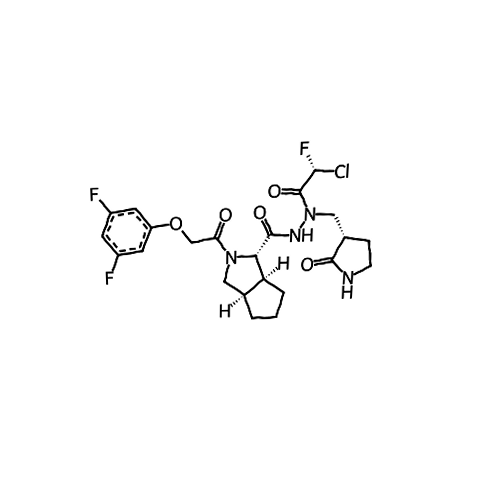 O=C1NCC[C@H]1CN(NC(=O)[C@@H]1[C@H]2CCC[C@H]2CN1C(=O)COc1cc(F)cc(F)c1)C(=O)[C@H](F)Cl